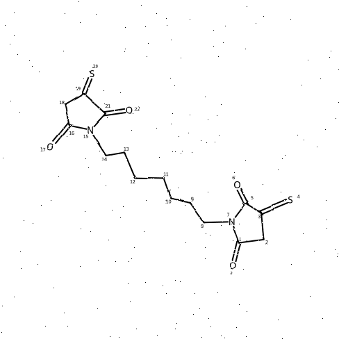 O=C1CC(=S)C(=O)N1CCCCCCCN1C(=O)CC(=S)C1=O